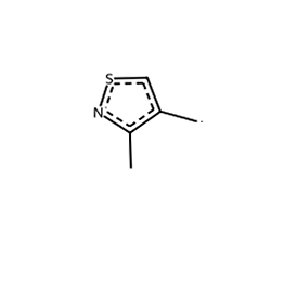 [CH2]c1csnc1C